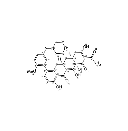 COc1ccc(CN2CCOCC2)cc1-c1ccc(O)c2c1C[C@H]1C[C@H]3CC(O)=C(C(N)=O)C(=O)[C@@]3(O)C(O)=C1C2=O